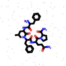 CC(C)CC(NC(=O)C(N)Cc1ccccc1)C(=O)NC(Cc1ccccc1)C(=O)NC(CCC(N)=O)C(=O)N1CCCC1C(N)=O